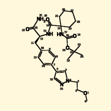 COCCn1cc(-c2ccc(C[C@H](NC(=O)C3(NC(=O)OC(C)(C)C)CCCCC3)C(N)=O)cc2)cn1